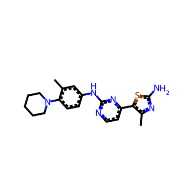 Cc1cc(Nc2nccc(-c3sc(N)nc3C)n2)ccc1N1CCCCC1